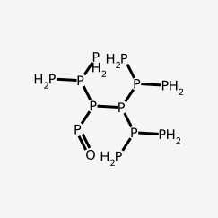 O=PP(P(P)P)P(P(P)P)P(P)P